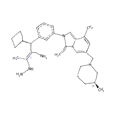 C=C1N2C=C(CN3CCC[C@H](C)C3)C=C(C(F)(F)F)C2=CN1c1cccc(C(/C(N)=C(\C)NN)C2CCC2)c1